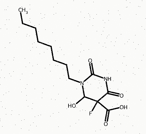 CCCCCCCCN1C(=O)NC(=O)C(F)(C(=O)O)C1O